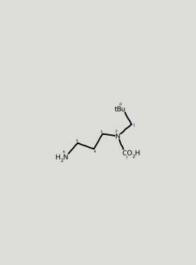 CC(C)(C)CN(CCCN)C(=O)O